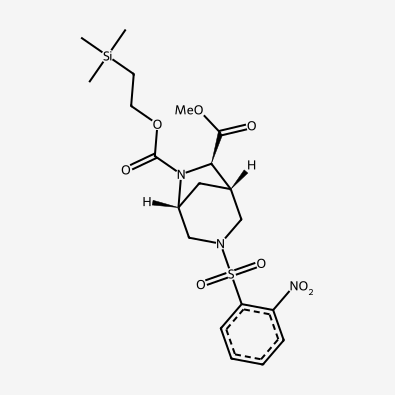 COC(=O)[C@H]1[C@H]2C[C@H](CN(S(=O)(=O)c3ccccc3[N+](=O)[O-])C2)N1C(=O)OCC[Si](C)(C)C